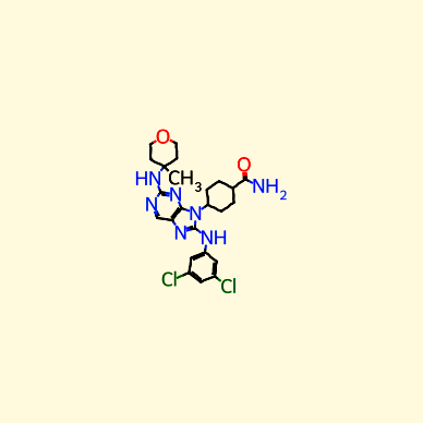 CC1(Nc2ncc3nc(Nc4cc(Cl)cc(Cl)c4)n(C4CCC(C(N)=O)CC4)c3n2)CCOCC1